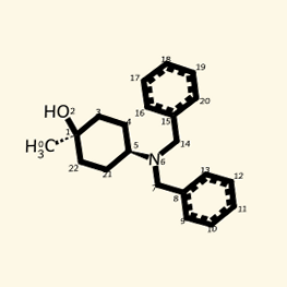 C[C@]1(O)CC[C@@H](N(Cc2ccccc2)Cc2ccccc2)CC1